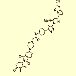 CNc1cc(-c2ccc3cc(C#N)cnn23)ncc1-c1nnc(C2CCC(N(C)C(=O)CN3CCN(c4ccc5c(c4)C(=O)N(C4CCC(=O)NC4=O)C5=O)CC3)CC2)s1